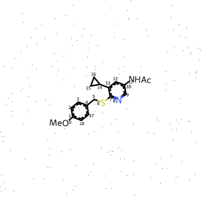 COc1ccc(CSc2ncc(NC(C)=O)cc2C2CC2)cc1